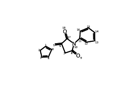 C1=CCC=C1.C=C1CC(=O)N(c2ccccc2)C1=O